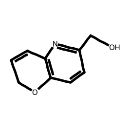 OCc1ccc2c(n1)C=CCO2